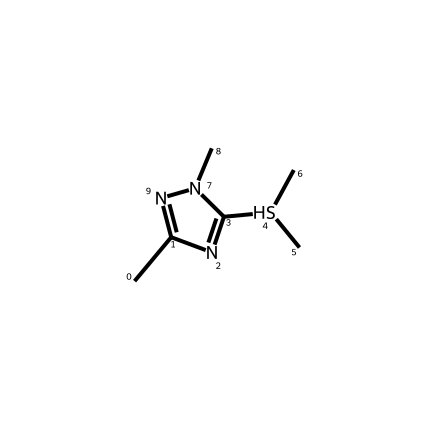 Cc1nc([SH](C)C)n(C)n1